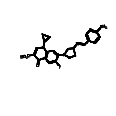 Nc1ccc(/C=N/C2CCN(c3cc4c(cc3F)c(=O)c(C(=O)O)cn4C3CC3)C2)cc1